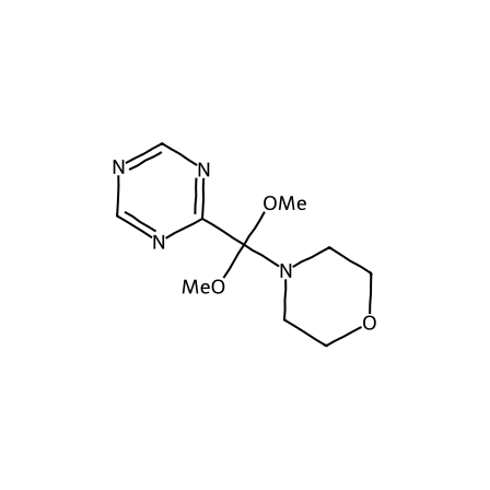 COC(OC)(c1ncncn1)N1CCOCC1